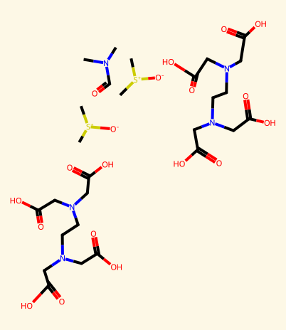 CN(C)C=O.C[S+](C)[O-].C[S+](C)[O-].O=C(O)CN(CCN(CC(=O)O)CC(=O)O)CC(=O)O.O=C(O)CN(CCN(CC(=O)O)CC(=O)O)CC(=O)O